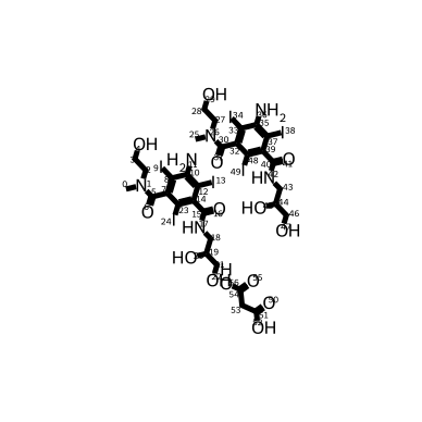 CN(CCO)C(=O)c1c(I)c(N)c(I)c(C(=O)NCC(O)CO)c1I.CN(CCO)C(=O)c1c(I)c(N)c(I)c(C(=O)NCC(O)CO)c1I.O=C(O)CC(=O)O